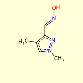 Cc1cn(C)nc1/C=N/O